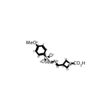 COc1ccc(S(=O)(=O)N/N=C/C2CN(C(=O)O)C2)cc1